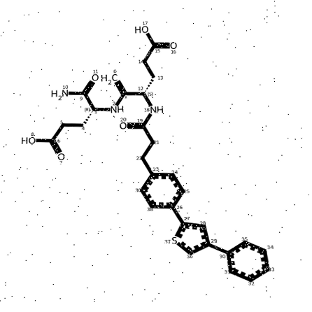 C=C(N[C@H](CCC(=O)O)C(N)=O)[C@H](CCC(=O)O)NC(=O)CCc1ccc(-c2cc(-c3ccccc3)cs2)cc1